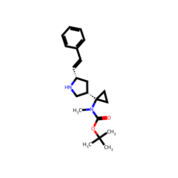 CN(C(=O)OC(C)(C)C)C1([C@@H]2CN[C@H](C=Cc3ccccc3)C2)CC1